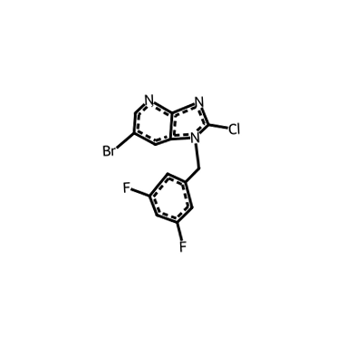 Fc1cc(F)cc(Cn2c(Cl)nc3ncc(Br)cc32)c1